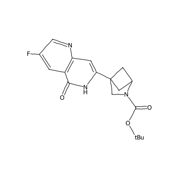 CC(C)(C)OC(=O)N1CC2(c3cc4ncc(F)cc4c(=O)[nH]3)CC1C2